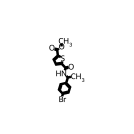 COC(=O)c1ccc(C(=O)NC(C)c2ccc(Br)cc2)s1